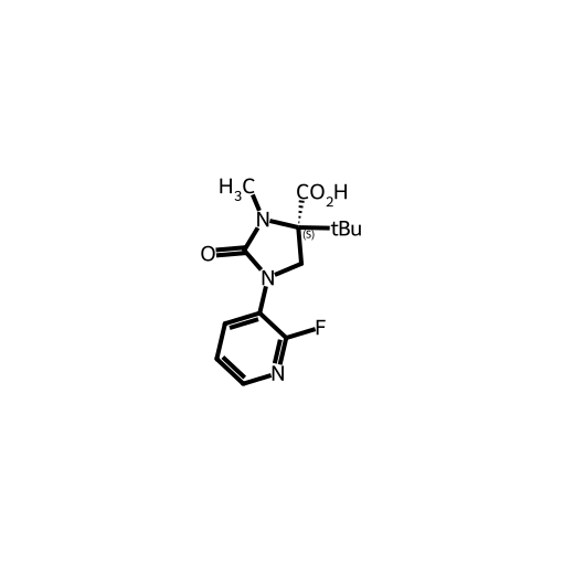 CN1C(=O)N(c2cccnc2F)C[C@]1(C(=O)O)C(C)(C)C